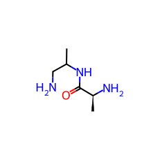 CC(CN)NC(=O)[C@H](C)N